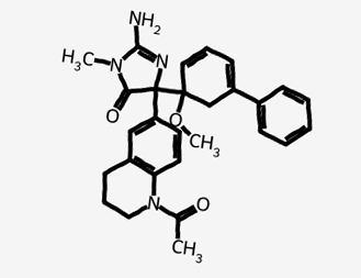 COC1(C2(c3ccc4c(c3)CCCN4C(C)=O)N=C(N)N(C)C2=O)C=CC=C(c2ccccc2)C1